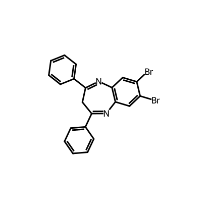 Brc1cc2c(cc1Br)N=C(c1ccccc1)CC(c1ccccc1)=N2